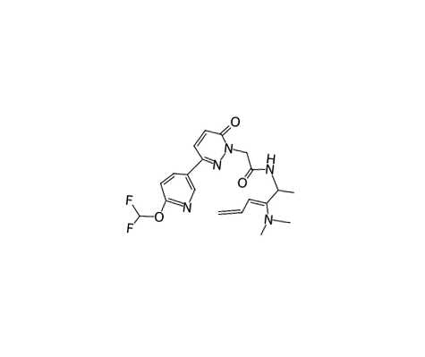 C=C/C=C(/C(C)NC(=O)Cn1nc(-c2ccc(OC(F)F)nc2)ccc1=O)N(C)C